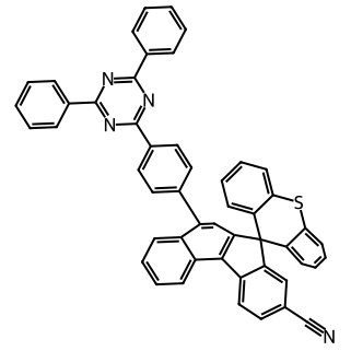 N#Cc1ccc2c(c1)C1(c3ccccc3Sc3ccccc31)c1cc(-c3ccc(-c4nc(-c5ccccc5)nc(-c5ccccc5)n4)cc3)c3ccccc3c1-2